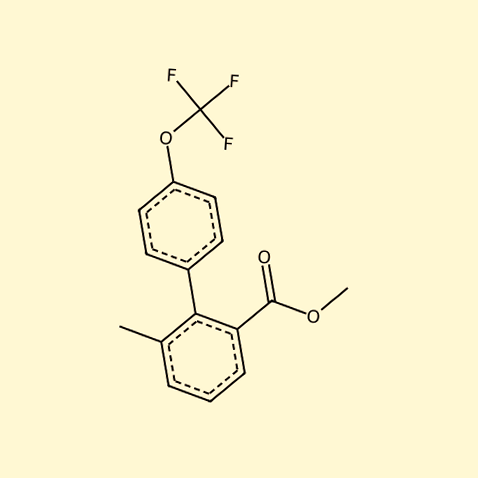 COC(=O)c1cccc(C)c1-c1ccc(OC(F)(F)F)cc1